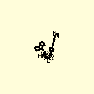 COC(=O)[C@@H](NC(=O)c1ccc(C#CC#Cc2cncn2C)cc1)[C@@H](C)NC(=O)OCC1c2ccccc2-c2ccccc21